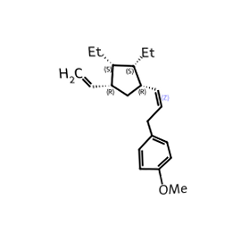 C=C[C@H]1C[C@@H](/C=C\Cc2ccc(OC)cc2)[C@@H](CC)[C@H]1CC